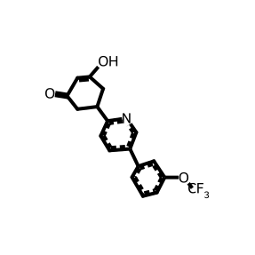 O=C1C=C(O)CC(c2ccc(-c3cccc(OC(F)(F)F)c3)cn2)C1